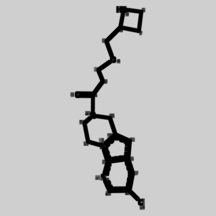 O=C(CCOCC1CCN1)N1CCn2c(cc3cc(Cl)cnc32)C1